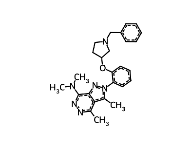 Cc1nnc(N(C)C)c2nn(-c3ccccc3OC3CCN(Cc4ccccc4)C3)c(C)c12